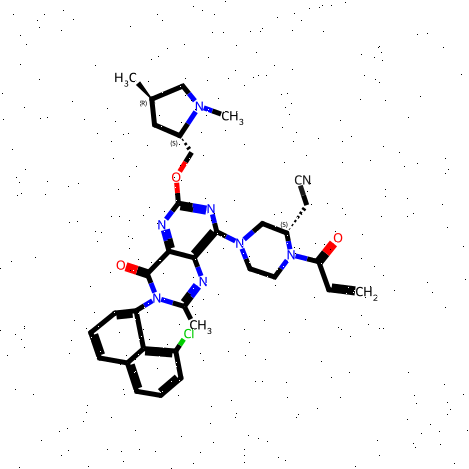 C=CC(=O)N1CCN(c2nc(OC[C@@H]3C[C@@H](C)CN3C)nc3c(=O)n(-c4cccc5cccc(Cl)c45)c(C)nc23)C[C@@H]1CC#N